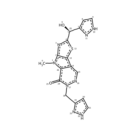 Cn1c2nc([C@@H](O)c3cc[nH]n3)sc2c2cnn(Cc3cc[nH]n3)c(=O)c21